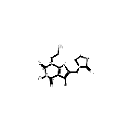 Cc1c(CN2CCNC2=O)sc2c1c(=O)n(C(C)C)c(=O)n2CCC(F)(F)F